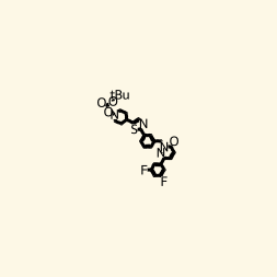 CC(C)(C)OC(=O)ON1CCC(c2cnc(-c3cccc(Cn4nc(-c5cc(F)cc(F)c5)ccc4=O)c3)s2)CC1